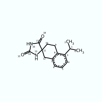 CC(C)c1cccc2c1CCC1(C2)NC(=O)NC1=O